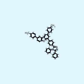 Cc1ccc(-c2ccc3oc4c(-c5ccc(-c6nnc(-c7ccccc7)n6-c6ccccc6)cc5)cc(-c5ccc(C)cc5)cc4c3c2)cc1